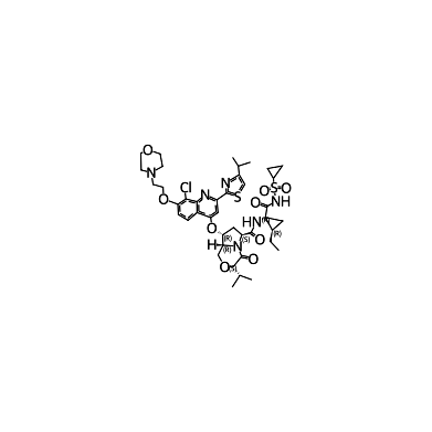 CC[C@@H]1C[C@]1(NC(=O)[C@@H]1C[C@@H](Oc2cc(-c3nc(C(C)C)cs3)nc3c(Cl)c(OCCN4CCOCC4)ccc23)[C@H]2CO[C@@H](C(C)C)C(=O)N21)C(=O)NS(=O)(=O)C1CC1